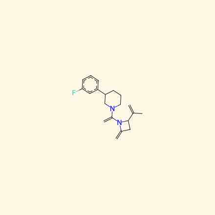 C=C(C)C1CC(=C)N1C(=C)N1CCCC(c2cccc(F)c2)C1